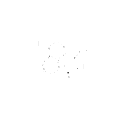 O=C1NC(=O)c2ccc(F)c3cccc1c23